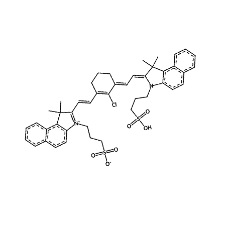 CC1(C)C(=CC=C2CCCC(C=CC3=[N+](CCCS(=O)(=O)[O-])c4ccc5ccccc5c4C3(C)C)=C2Cl)N(CCCS(=O)(=O)O)c2ccc3ccccc3c21